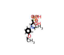 CCOc1cccc(N(CC)CC(O)CS(=O)(=O)O)c1